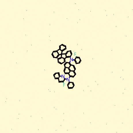 Fc1ccccc1N(c1cccc2c1-c1ccccc1C21c2ccccc2-c2ccccc21)c1ccc2ccc3c(N(c4ccccc4)c4nc5ccccc5cc4F)ccc4ccc1c2c43